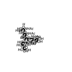 CC(=O)N[C@H]1[C@@H](O[C@H]2[C@@H](O)[C@@H](CO)O[C@@H](O[C@@H]3[C@@H](O)[C@@H](O[C@@H]4[C@H](O)[C@@H](O)[C@H](O[C@H]5[C@H](O)[C@@H](O)[C@H](O)O[C@@H]5CO)O[C@@H]4CO)O[C@H](CO)[C@@H]3O[C@@H]3O[C@H](CO)[C@H](O)[C@H](O[C@@H]4O[C@H](CO)[C@H](O)[C@H](O)[C@H]4O)[C@H]3NC(C)=O)[C@@H]2NC(C)=O)O[C@H](CO)[C@H](O)[C@@H]1O